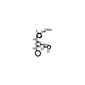 CCC(Nc1nc(Nc2ccc(OCOC)c(F)c2)nc(NC2CCCCCC2)n1)C1CCCN1